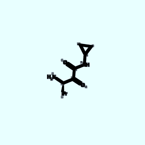 CC(C)[C@H](N)C(=O)C(=O)NC1CC1